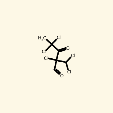 CC(Cl)(Cl)C(=O)C(Cl)([C]=O)C(Cl)Cl